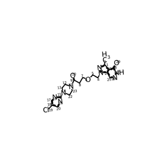 Cc1nn(CCOCCC(=O)N2CCN(c3ncc(Cl)cn3)CC2)c2cn[nH]c(=O)c12